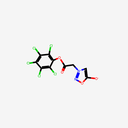 O=C(C[n+]1cc([O-])on1)Oc1c(Cl)c(Cl)c(Cl)c(Cl)c1Cl